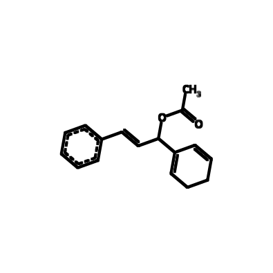 CC(=O)OC(/C=C/c1ccccc1)C1=CCCC=C1